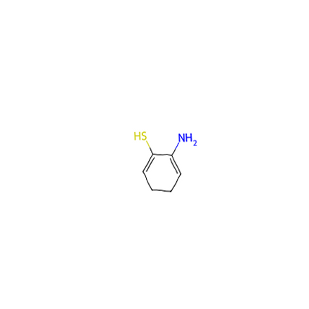 NC1=CCCC=C1S